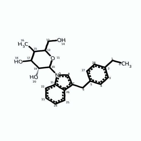 CCc1ccc(Cc2cn(C3OC(CO)C(C)C(O)[C@H]3O)c3ccccc23)cc1